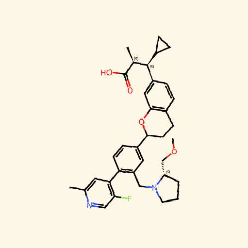 COC[C@@H]1CCCN1Cc1cc(C2CCc3ccc([C@H](C4CC4)[C@H](C)C(=O)O)cc3O2)ccc1-c1cc(C)ncc1F